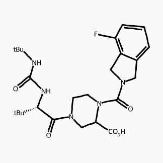 CC(C)(C)NC(=O)N[C@H](C(=O)N1CCN(C(=O)N2Cc3cccc(F)c3C2)C(C(=O)O)C1)C(C)(C)C